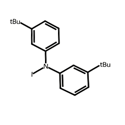 CC(C)(C)c1cccc(N(I)c2cccc(C(C)(C)C)c2)c1